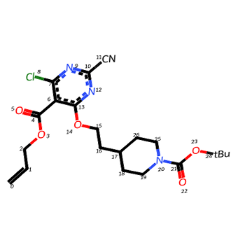 C=CCOC(=O)c1c(Cl)nc(C#N)nc1OCCC1CCN(C(=O)OC(C)(C)C)CC1